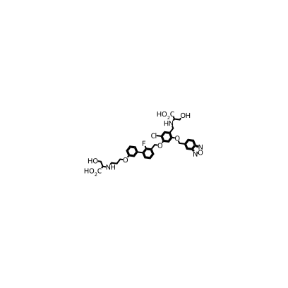 O=C(O)C(CO)NCCCOc1cccc(-c2cccc(COc3cc(OCc4ccc5nonc5c4)c(CNC(CO)C(=O)O)cc3Cl)c2F)c1